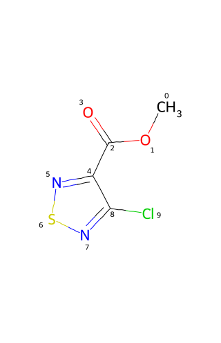 COC(=O)c1nsnc1Cl